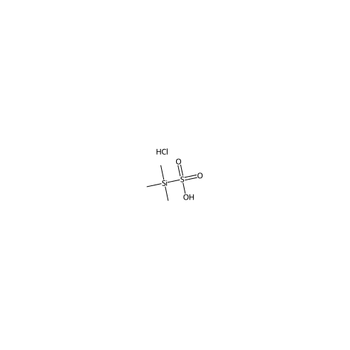 C[Si](C)(C)S(=O)(=O)O.Cl